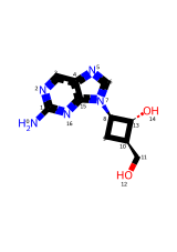 Nc1ncc2ncn([C@@H]3C[C@H](CO)[C@H]3O)c2n1